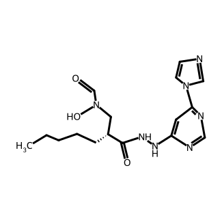 CCCCC[C@H](CN(O)C=O)C(=O)NNc1cc(-n2ccnc2)ncn1